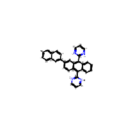 c1cnc(-c2c3ccccc3c(-c3ncccn3)c3cc(-c4ccc5ccccc5c4)ccc23)nc1